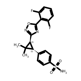 CC1(C)[C@@H](c2ccc(S(N)(=O)=O)cc2)[C@@H]1c1noc(-c2c(F)cccc2F)n1